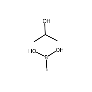 CC(C)O.OB(O)F